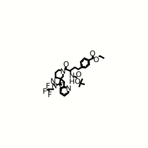 CCOC(=O)c1ccc(CCC(NC(=O)OC(C)(C)C)C(=O)N2CCC3=NN(CC(F)(F)F)C(=O)C3(Cc3ccccn3)C2)cc1